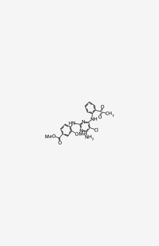 COC(=O)c1ccc(Nc2nc(N)c(Cl)c(Nc3ccccc3S(C)(=O)=O)n2)c(OC)c1